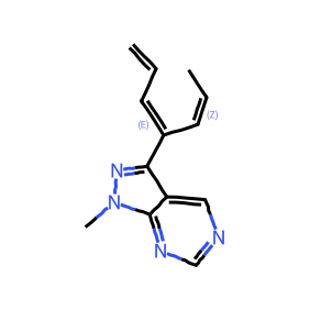 C=C/C=C(\C=C/C)c1nn(C)c2ncncc12